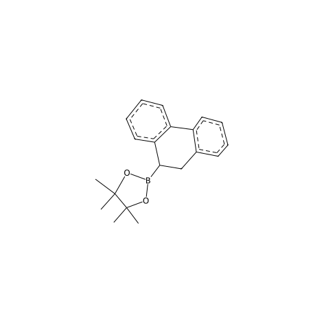 CC1(C)OB(C2Cc3ccccc3-c3ccccc32)OC1(C)C